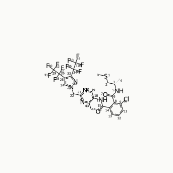 CSC[C@H](C)NC(=O)c1c(Cl)cccc1C(=O)Nc1cnc(Cn2cc(C(F)(F)C(F)(F)F)c(C(F)(F)C(F)(F)F)n2)nc1C